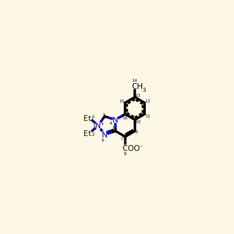 CC[N+]1(CC)CN2C(=N1)C(C(=O)[O-])=Cc1ccc(C)cc12